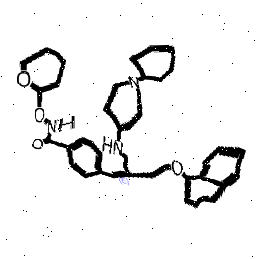 O=C(NOC1CCCCO1)c1ccc(/C=C(\CNC2CCN(C3CCCCC3)C2)COc2cccc3ccccc23)cc1